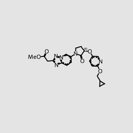 COC(=O)Cc1nc2ccc(N3CC[C@@H](Oc4ccc(OCC5CC5)nc4)C3=O)cn2n1